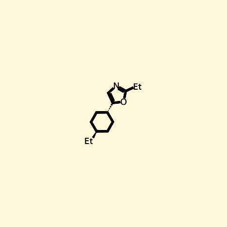 CCc1ncc([C@H]2CC[C@H](CC)CC2)o1